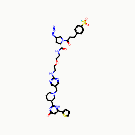 [N-]=[N+]=NC1C[C@@H](C(=O)NCCOCCNc2ncc(CN3CCCC(c4nc(=O)cc(-c5cccs5)[nH]4)C3)cn2)N(C(=O)CCc2ccc(S(=O)(=O)F)cc2)C1